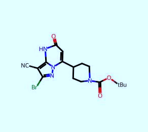 CC(C)(C)OC(=O)N1CCC(c2cc(=O)[nH]c3c(C#N)c(Br)nn23)CC1